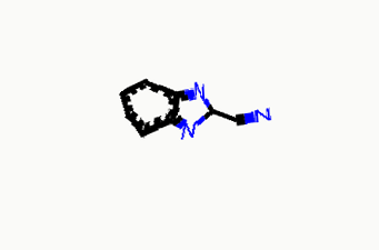 N#CC1N=c2ccccc2=N1